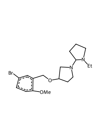 CCN1CCCC1N1CCC(OCc2cc(Br)ccc2OC)C1